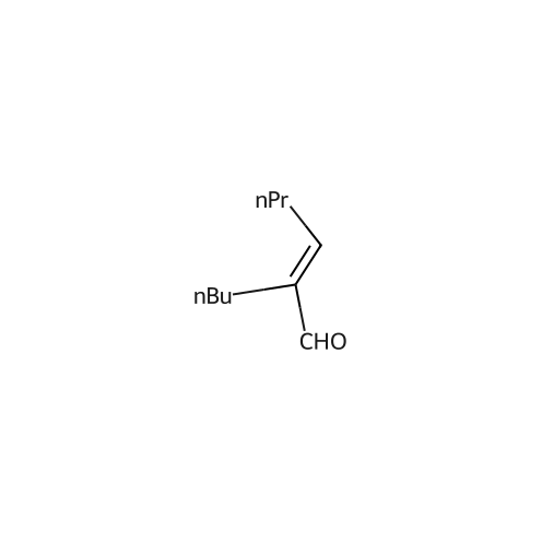 CCCC=C(C=O)CCCC